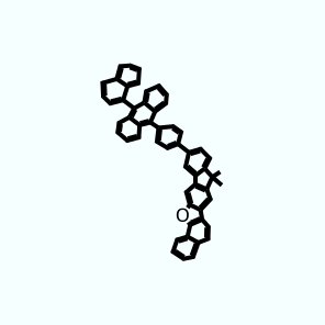 CC1(C)c2ccc(-c3ccc(-c4c5ccccc5c(-c5cccc6ccccc56)c5ccccc45)cc3)cc2-c2cc3oc4c5ccccc5ccc4c3cc21